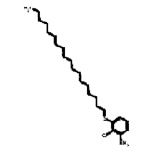 CCCCCCCCCCCCCCCCCCSc1cccc(N)c1Cl